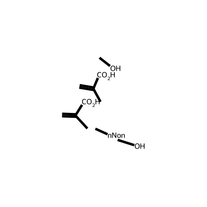 C=C(C)C(=O)O.C=C(C)C(=O)O.CCCCCCCCCC.CO.CO